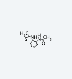 CC(=O)Nc1ccccc1NC(C)=S